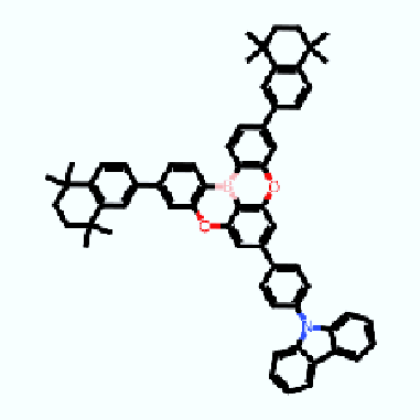 CC1(C)CCC(C)(C)c2cc(-c3ccc4c(c3)Oc3cc(-c5ccc(-n6c7ccccc7c7ccccc76)cc5)cc5c3B4c3ccc(-c4ccc6c(c4)C(C)(C)CCC6(C)C)cc3O5)ccc21